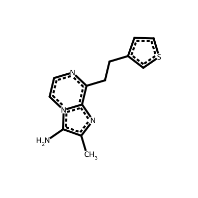 Cc1nc2c(CCc3ccsc3)nccn2c1N